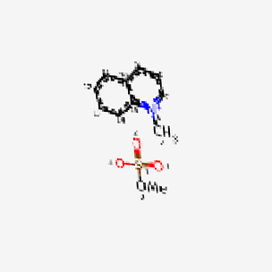 COS(=O)(=O)[O-].C[n+]1cccc2ccccc21